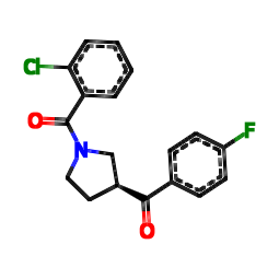 O=C(c1ccc(F)cc1)[C@H]1CCN(C(=O)c2ccccc2Cl)C1